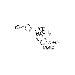 COc1cc2cc[n+](Cc3ccc(C(C)(C)C)cc3)c(C)c2cc1OC.[Cl-]